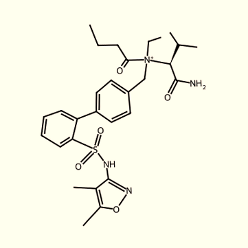 CCCC(=O)[N+](CC)(Cc1ccc(-c2ccccc2S(=O)(=O)Nc2noc(C)c2C)cc1)[C@H](C(N)=O)C(C)C